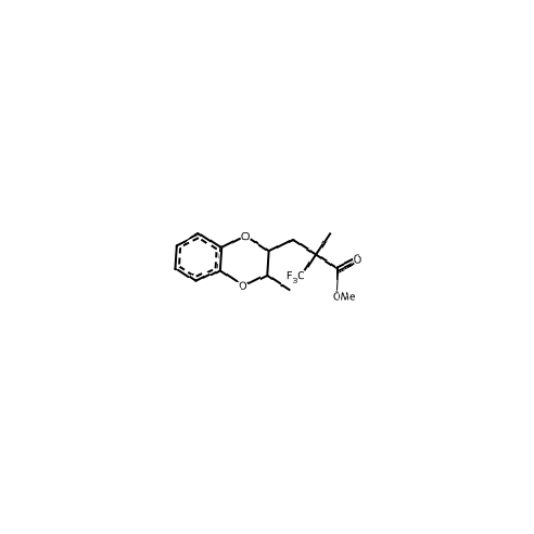 COC(=O)C(C)(CC1Oc2ccccc2OC1C)C(F)(F)F